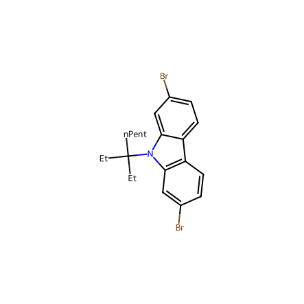 CCCCCC(CC)(CC)n1c2cc(Br)ccc2c2ccc(Br)cc21